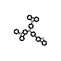 c1ccc(-n2c3ccccc3c3cc(N(c4ccc(-c5ccc6c(c5)oc5ccccc56)cc4)c4ccc(-n5c6ccccc6c6ccccc65)cc4)ccc32)cc1